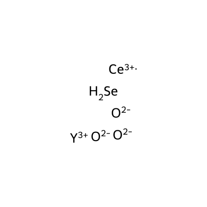 [Ce+3].[O-2].[O-2].[O-2].[SeH2].[Y+3]